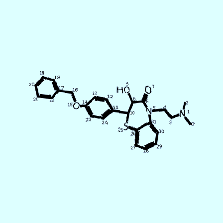 CN(C)CCN1C(=O)C(O)C(c2ccc(OCc3ccccc3)cc2)Sc2ccccc21